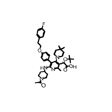 CC(=O)N1CCC(Nc2nc(C)c([C@H](OC(C)(C)C)C(=O)O)c(N3CCC(C)(C)CC3)c2-c2ccc(OCCc3ccc(F)cc3)cc2)CC1